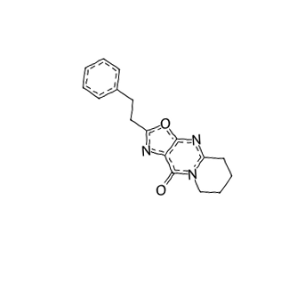 O=c1c2nc(CCc3ccccc3)oc2nc2n1CCCC2